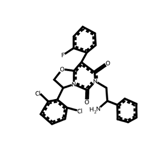 NC(Cn1c(=O)c(-c2ccccc2F)c2n(c1=O)C(c1c(Cl)cccc1Cl)CO2)c1ccccc1